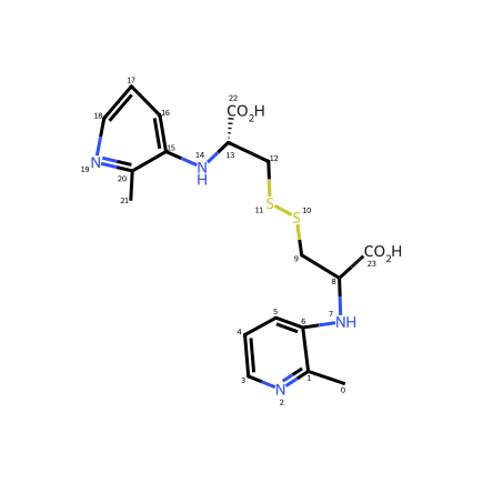 Cc1ncccc1NC(CSSC[C@H](Nc1cccnc1C)C(=O)O)C(=O)O